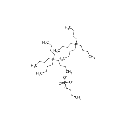 CCCC[P+](CCCC)(CCCC)CCCC.CCCC[P+](CCCC)(CCCC)CCCC.CCCOP(=O)([O-])[O-]